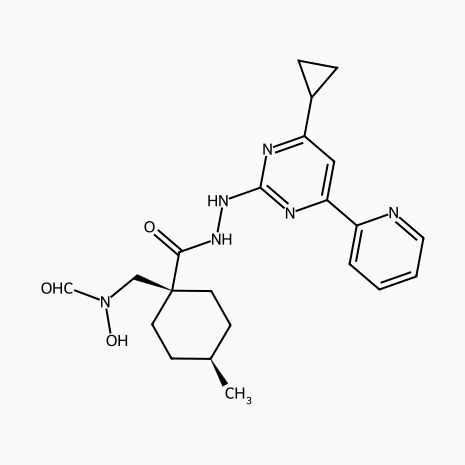 C[C@H]1CC[C@](CN(O)C=O)(C(=O)NNc2nc(-c3ccccn3)cc(C3CC3)n2)CC1